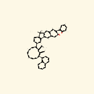 C/C=c1/c(-c2cccc3ccccc23)ccccccc(-c2ccc3c(c2)-c2cc4cc5oc6ccccc6c5cc4cc2C3(C)C)/c1=C/CC